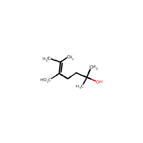 CC(C)=C(CCC(C)(C)O)C(=O)O